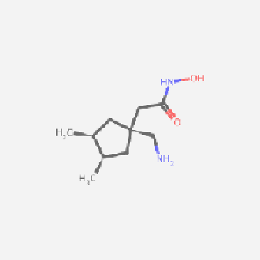 C[C@@H]1C[C@@](CN)(CC(=O)NO)C[C@@H]1C